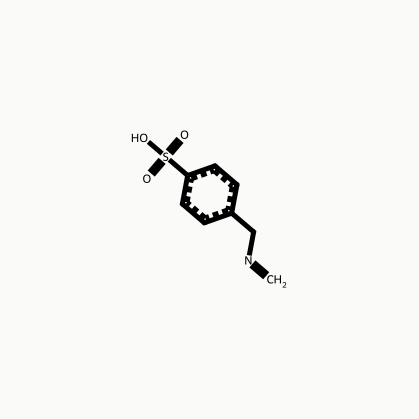 C=NCc1ccc(S(=O)(=O)O)cc1